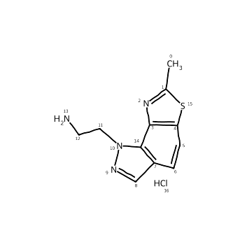 Cc1nc2c(ccc3cnn(CCN)c32)s1.Cl